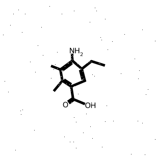 CCc1cc(C(=O)O)c(C)c(C)c1N